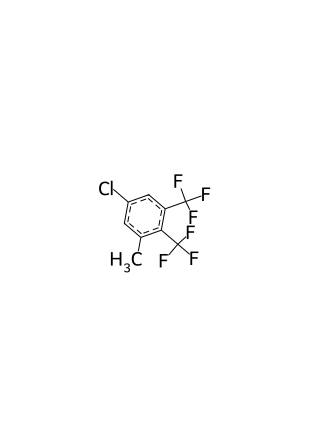 Cc1cc(Cl)cc(C(F)(F)F)c1C(F)(F)F